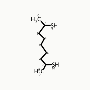 CC(S)CCCCCC(C)S